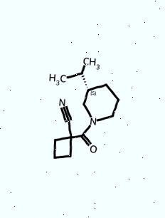 CC(C)[C@@H]1CCCN(C(=O)C2(C#N)CCC2)C1